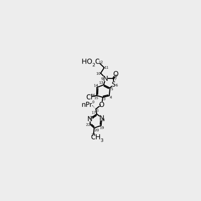 CCC[C@H](Oc1cc2sc(=O)n(CCC(=O)O)c2cc1Cl)c1ncc(C)cn1